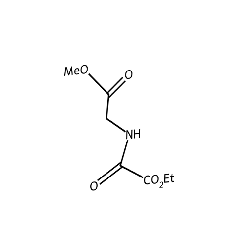 CCOC(=O)C(=O)NCC(=O)OC